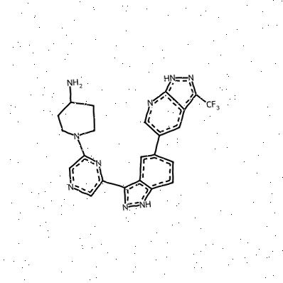 NC1CCN(c2cncc(-c3n[nH]c4ccc(-c5cnc6[nH]nc(C(F)(F)F)c6c5)cc34)n2)CC1